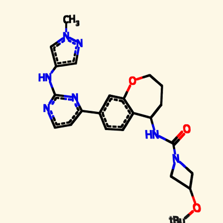 Cn1cc(Nc2nccc(-c3ccc4c(c3)OCCCC4NC(=O)N3CC(OC(C)(C)C)C3)n2)cn1